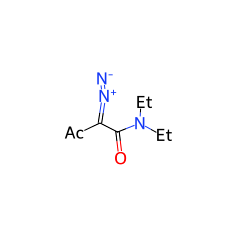 CCN(CC)C(=O)C(=[N+]=[N-])C(C)=O